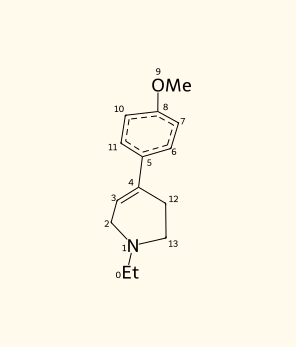 [CH2]CN1CC=C(c2ccc(OC)cc2)CC1